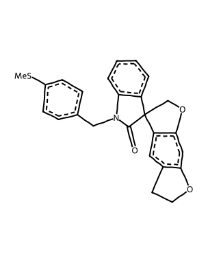 CSc1ccc(CN2C(=O)C3(COc4cc5c(cc43)CCO5)c3ccccc32)cc1